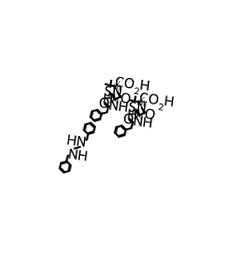 CC1(C)S[C@@H]2[C@H](NC(=O)Cc3ccccc3)C(=O)N2[C@H]1C(=O)O.CC1(C)S[C@@H]2[C@H](NC(=O)Cc3ccccc3)C(=O)N2[C@H]1C(=O)O.c1ccc(CNCCNCc2ccccc2)cc1